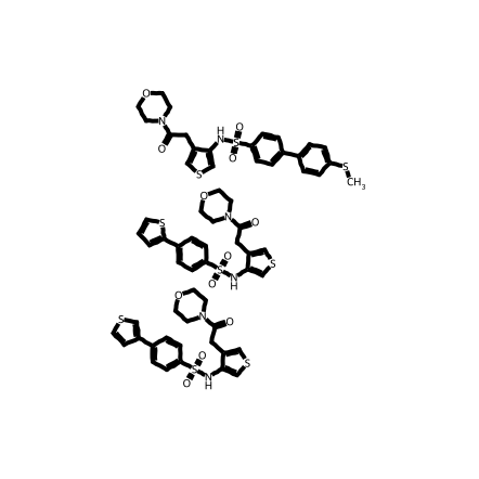 CSc1ccc(-c2ccc(S(=O)(=O)Nc3cscc3CC(=O)N3CCOCC3)cc2)cc1.O=C(Cc1cscc1NS(=O)(=O)c1ccc(-c2cccs2)cc1)N1CCOCC1.O=C(Cc1cscc1NS(=O)(=O)c1ccc(-c2ccsc2)cc1)N1CCOCC1